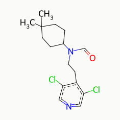 CC1(C)CCC(N(C=O)CCc2c(Cl)cncc2Cl)CC1